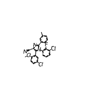 COc1ccc(Cl)cc1-c1c(C#N)nc(-c2cccc(C)c2)n1-c1cccc(Cl)c1F